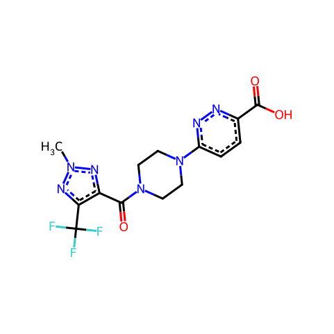 Cn1nc(C(=O)N2CCN(c3ccc(C(=O)O)nn3)CC2)c(C(F)(F)F)n1